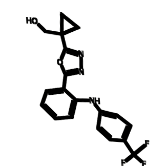 OCC1(c2nnc(-c3ccccc3Nc3ccc(C(F)(F)F)cc3)o2)CC1